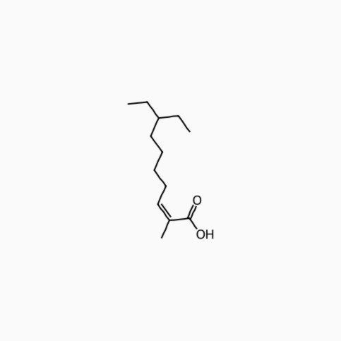 CCC(CC)CCCCC=C(C)C(=O)O